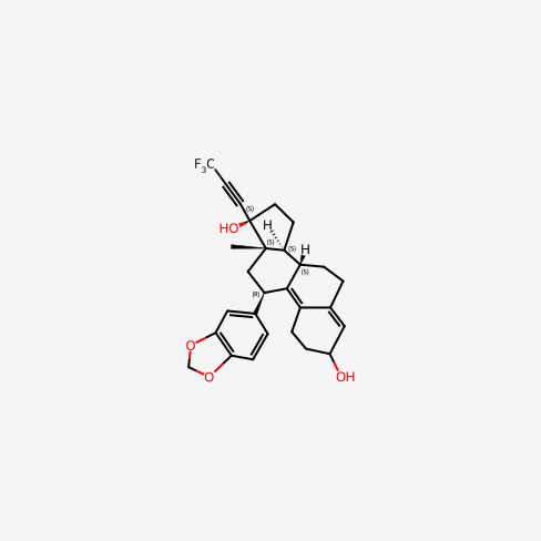 C[C@]12C[C@H](c3ccc4c(c3)OCO4)C3=C4CCC(O)C=C4CC[C@H]3[C@@H]1CC[C@@]2(O)C#CC(F)(F)F